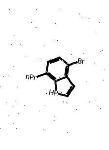 CCCc1ccc(Br)c2cc[pH]c12